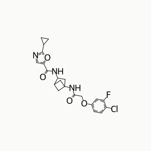 O=C(COc1ccc(Cl)c(F)c1)NC12CC(C1)C(NC(=O)c1cnc(C3CC3)o1)C2